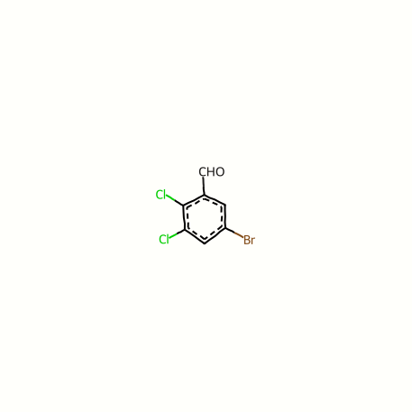 O=Cc1cc(Br)cc(Cl)c1Cl